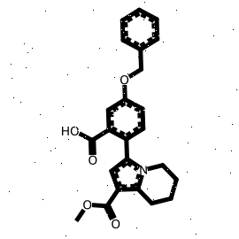 COC(=O)c1cc(-c2ccc(OCc3ccccc3)cc2C(=O)O)n2c1CCCC2